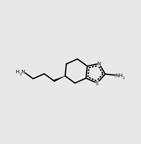 NCCC[C@H]1CCc2nc(N)sc2C1